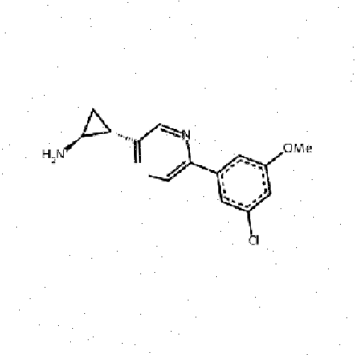 C=C(/C=N\C(=C/C)c1cc(Cl)cc(OC)c1)[C@H]1C[C@@H]1N